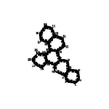 c1ccc2nc3c(cc2c1)c1ccc2ccccc2c1c1ncccc31